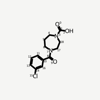 O=C(O)N1CCCN(C(=O)c2cccc(Cl)c2)CC1